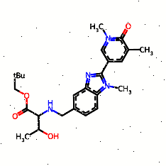 Cc1cc(-c2nc3cc(CNC(C(=O)OCC(C)(C)C)C(C)O)ccc3n2C)cn(C)c1=O